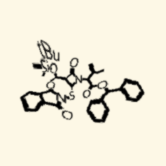 C=C(C)C(C(=O)OC(c1ccccc1)c1ccccc1)N1C(=O)[C@H]([C@@H](C)O[Si](C)(C)C(C)(C)C)[C@H]1SN1C(=O)c2ccccc2C1=O